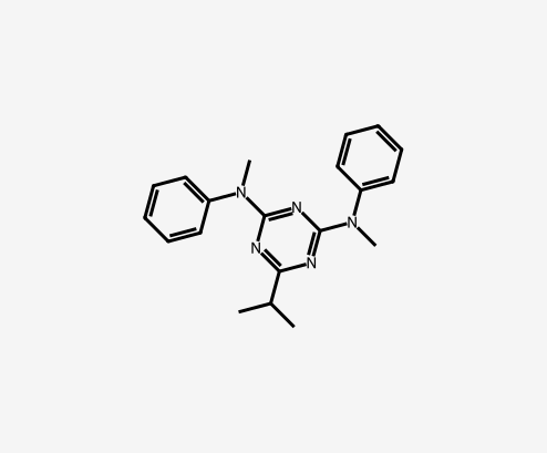 CC(C)c1nc(N(C)c2ccccc2)nc(N(C)c2ccccc2)n1